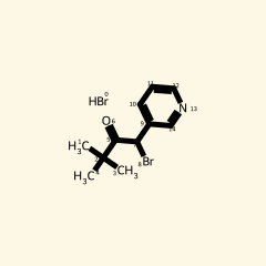 Br.CC(C)(C)C(=O)C(Br)c1cccnc1